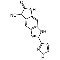 N#CC1C(=O)Nc2cc3[nH]c(-c4nc[nH]n4)nc3cc21